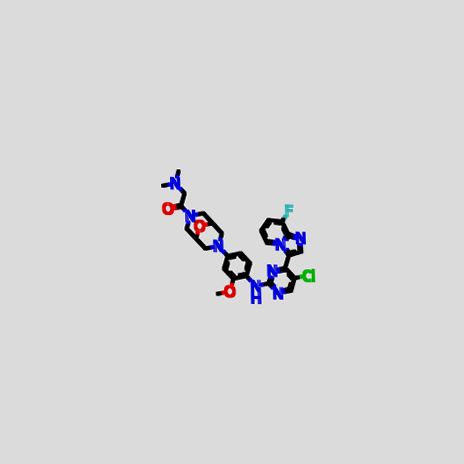 COc1cc(N2CC3CN(C(=O)CN(C)C)CC(C2)O3)ccc1Nc1ncc(Cl)c(-c2cnc3c(F)cccn23)n1